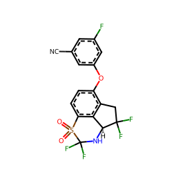 N#Cc1cc(F)cc(Oc2ccc3c4c2CC(F)(F)[C@H]4NC(F)(F)S3(=O)=O)c1